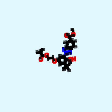 C=C(C)C(=O)OCCOc1cc(-n2nc3ccc(C(=O)OC)cc3n2)c(O)c(C(C)(C)C)c1